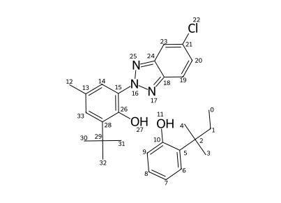 CCC(C)(C)c1ccccc1O.Cc1cc(-n2nc3ccc(Cl)cc3n2)c(O)c(C(C)(C)C)c1